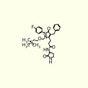 C[Si](C)(C)CCOCn1c(CCC(=O)N[C@H]2CCNC2=O)c(Cc2ccccc2)c(=O)n1-c1ccc(F)cc1